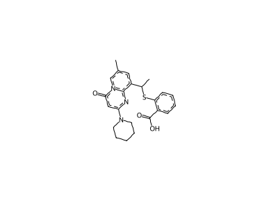 Cc1cc(C(C)Sc2ccccc2C(=O)O)c2nc(N3CCCCC3)cc(=O)n2c1